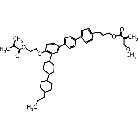 C=C(C)C(=O)OCCOc1ccc(-c2ccc(-c3ccc(CCCOC(=O)C(=C)COC)cc3)cc2)cc1C1CCC(C2CCC(CCC)CC2)CC1